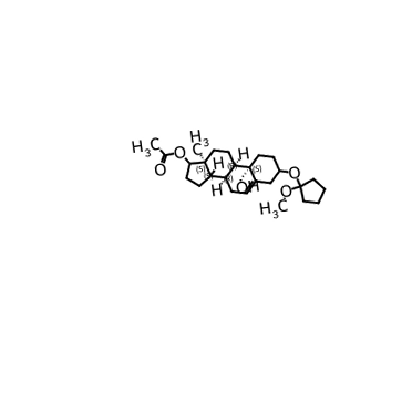 COC1(OC2CC[C@@]3(CO)C(=CC[C@@H]4[C@H]3CC[C@]3(C)C(OC(C)=O)CC[C@@H]43)C2)CCCC1